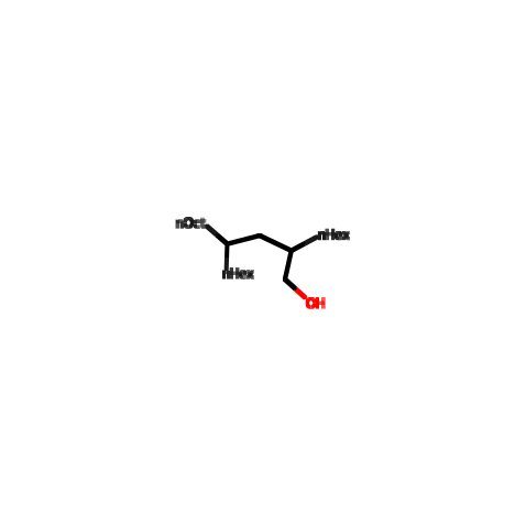 CCCCCCCCC(CCCCCC)CC(CO)CCCCCC